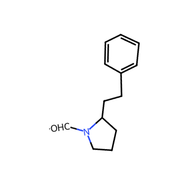 O=[C]N1CCCC1CCc1ccccc1